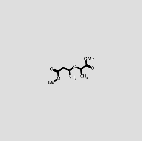 COC(=O)C(C)OC(N)CC(=O)OC(C)(C)C